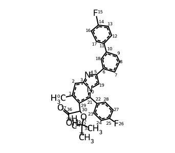 Cc1cc2nc(-c3cccc(-c4ccc(F)cc4)c3)cn2c(-c2ccc(F)cc2)c1C(OC(C)(C)C)C(=O)O